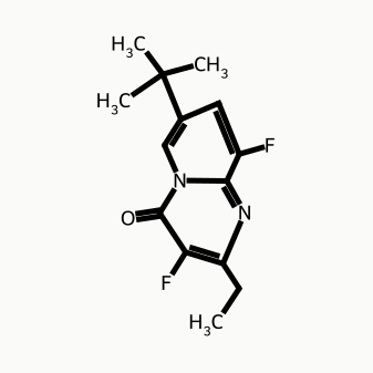 CCc1nc2c(F)cc(C(C)(C)C)cn2c(=O)c1F